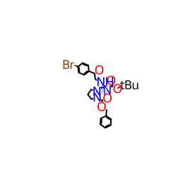 CC(C)(C)OC(=O)/N=C(\NCC(=O)c1ccc(Br)cc1)N1CCCN1C(=O)OCc1ccccc1